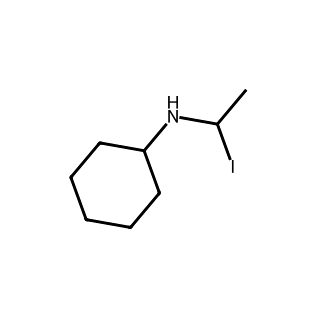 CC(I)NC1CCCCC1